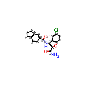 NC(=O)c1oc2ccc(Cl)cc2c1NC(=O)c1ccc2c(c1)CCC2